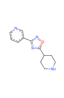 c1cncc(-c2noc(C3CCNCC3)n2)c1